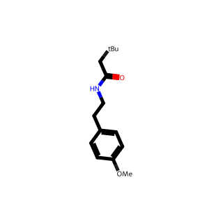 COc1ccc(CCNC(=O)CC(C)(C)C)cc1